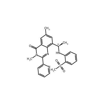 Cc1cc([C@@H](C)Nc2ccccc2S(C)(=O)=O)c2nc(-c3ccccn3)n(C)c(=O)c2c1